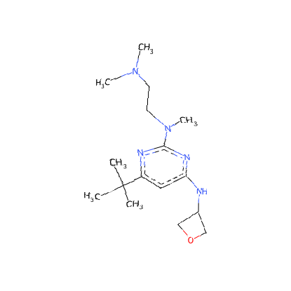 CN(C)CCN(C)c1nc(NC2COC2)cc(C(C)(C)C)n1